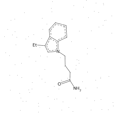 CCc1cn(CCCC(N)=O)c2ccccc12